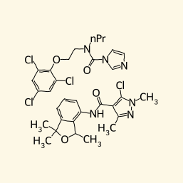 CCCN(CCOc1c(Cl)cc(Cl)cc1Cl)C(=O)n1ccnc1.Cc1nn(C)c(Cl)c1C(=O)Nc1cccc2c1C(C)OC2(C)C